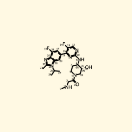 CNCC(=O)N1CC[C@@H](Nc2ncc(F)c(-c3cc(F)c4nc(C)n(C(C)C)c4c3)n2)[C@H](O)C1